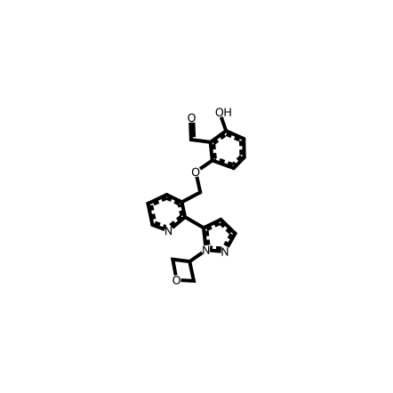 O=Cc1c(O)cccc1OCc1cccnc1-c1ccnn1C1COC1